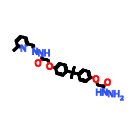 Cc1cccc(C=NNC(=O)COc2ccc(C(C)(C)c3ccc(OCC(=O)NN)cc3)cc2)n1